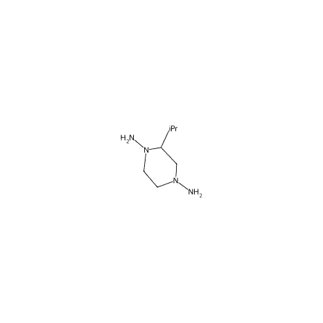 CC(C)C1CN(N)CCN1N